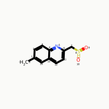 [CH2]c1ccc2nc(C[SH](=O)=O)ccc2c1